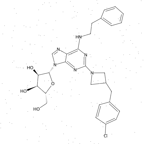 OC[C@H]1O[C@@H](n2cnc3c(NCCc4ccccc4)nc(N4CC(Cc5ccc(Cl)cc5)C4)nc32)[C@H](O)[C@@H]1O